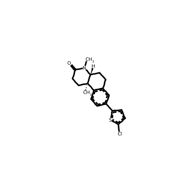 CN1C(=O)CC[C@]2(C)c3ccc(-c4ccc(Cl)s4)cc3CC[C@@H]12